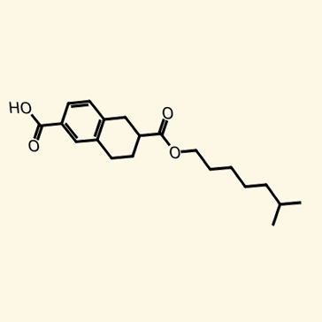 CC(C)CCCCCOC(=O)C1CCc2cc(C(=O)O)ccc2C1